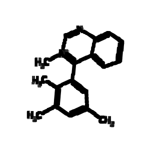 Cc1cc(C)c(C)c(-c2c3ccccc3nc[n+]2C)c1